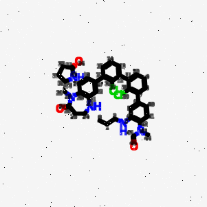 CCCNc1cc(-c2cccc(-c3cccc(-c4ccc5c(c4)NCCC(=O)N5C[C@@H]4CCC(=O)N4)c3Cl)c2Cl)ccc1N(C)C=O